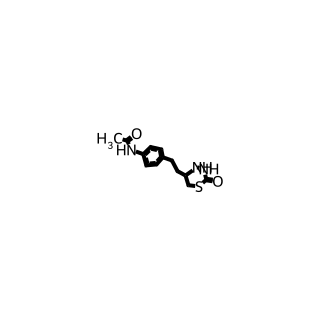 CC(=O)Nc1ccc(CCC2CSC(=O)NN2)cc1